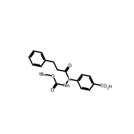 CC(C)(C)OC(=O)NN(C(=O)CCc1ccccc1)c1ccc(C(=O)O)cc1